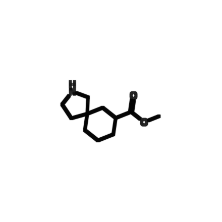 COC(=O)C1CCCC2(CCNC2)C1